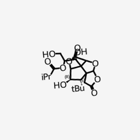 CC(C)C(=O)OC(CO)[C@H](O)C12C3OC4OC(=O)CC41[C@H](C(C)(C)C)[C@@H](O)C2OC3=O